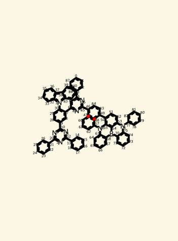 c1ccc(-c2cc(-c3cc(-c4nc(-c5ccccc5)nc(-c5ccccc5)n4)ccc3-n3c4ccccc4c4ccccc43)nc(-c3ccc(-c4ccc5c6c4N(c4ccccc4)c4ccccc4B6c4ccccc4N5c4ccccc4)cc3)n2)cc1